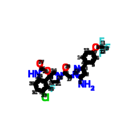 Nc1cc(-c2ccc(OC(F)(F)F)cc2)nn1CC(=O)N1CC[C@@]2(C1)OC(=O)Nc1ccc(Cl)c(F)c12